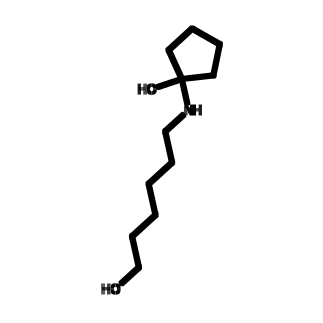 OCCCCCCNC1(O)CCCC1